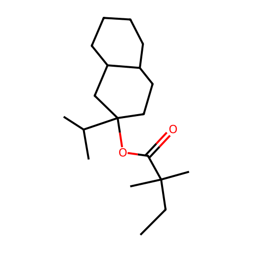 CCC(C)(C)C(=O)OC1(C(C)C)CCC2CCCCC2C1